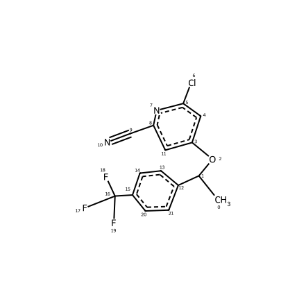 CC(Oc1cc(Cl)nc(C#N)c1)c1ccc(C(F)(F)F)cc1